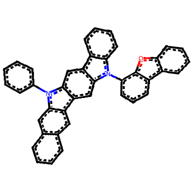 c1ccc(-n2c3cc4ccccc4cc3c3cc4c(cc32)c2ccccc2n4-c2cccc3c2oc2ccccc23)cc1